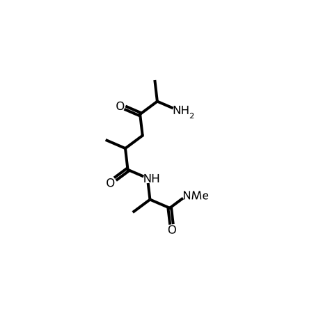 CNC(=O)C(C)NC(=O)C(C)CC(=O)C(C)N